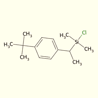 CC(c1ccc(C(C)(C)C)cc1)[Si](C)(C)Cl